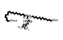 CCCCC/C=C\C/C=C\C/C=C\CCCCCCCCC(=O)O[C@H](COCCCCCCCCCCCCCCCCCCCCCC)COP(=O)(O)OCC[N+](C)(C)C